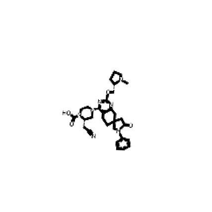 CN1CCC[C@H]1COc1nc2c(c(N3CCN(C(=O)O)[C@@H](CC#N)C3)n1)CCC1(CC(=O)N(c3ccccc3)C1)C2